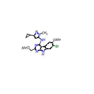 COCc1nc(Nc2cc(C3CC3)nn2C)c2c(n1)[nH]c1cc(Br)c(OC)cc12